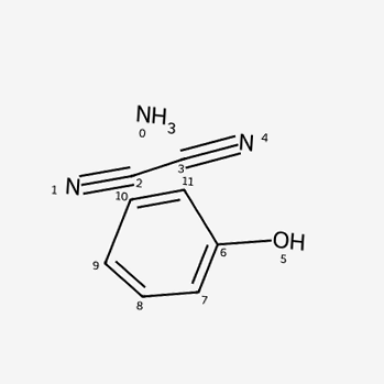 N.N#CC#N.Oc1ccccc1